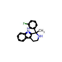 CC1(c2cccc(F)c2)NCCc2c1[nH]c1ccccc21